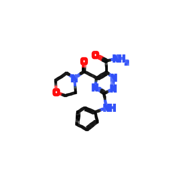 NC(=O)c1nnc(Nc2ccccc2)nc1C(=O)N1CCOCC1